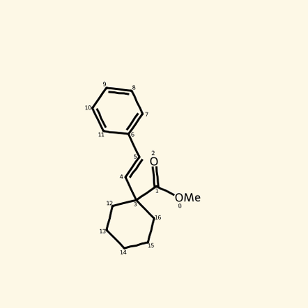 COC(=O)C1(/C=C/c2ccccc2)CCCCC1